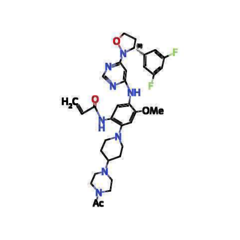 C=CC(=O)Nc1cc(Nc2cc(N3OCC[C@@H]3c3cc(F)cc(F)c3)ncn2)c(OC)cc1N1CCC(N2CCN(C(C)=O)CC2)CC1